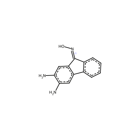 Nc1cc2c(cc1N)-c1ccccc1/C2=N/O